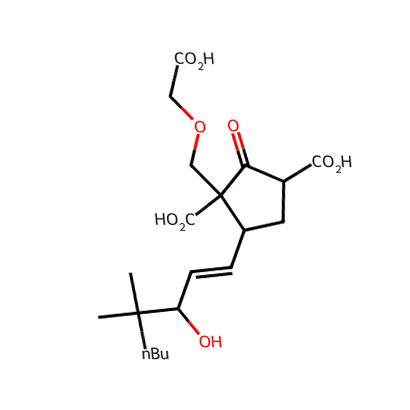 CCCCC(C)(C)C(O)/C=C/C1CC(C(=O)O)C(=O)C1(COCC(=O)O)C(=O)O